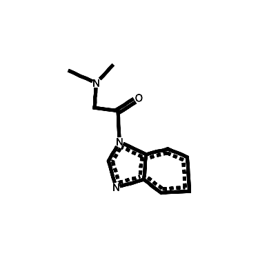 CN(C)CC(=O)n1cnc2ccccc21